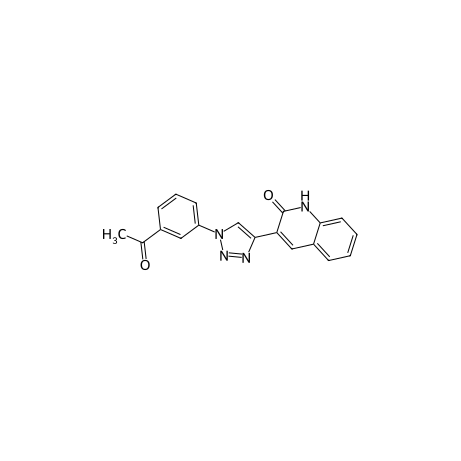 CC(=O)c1cccc(-n2cc(-c3cc4ccccc4[nH]c3=O)nn2)c1